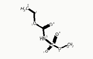 CCOC(=O)NS(=O)(=O)OC